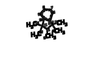 CC1C(C)(C)c2ccccc2C1(C)C